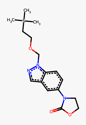 C[Si](C)(C)CCOCn1ncc2cc(N3CCOC3=O)ccc21